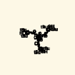 CC(C)(C)c1cc(CCC(=O)CCn2c(=O)n(CCC(=O)CCc3cc(C(C)(C)C)c(O)c(C(C)(C)C)c3)c(=O)n(CCC(=O)CCc3cc(C(C)(C)C)c(O)c(C(C)(C)C)c3)c2=O)cc(C(C)(C)C)c1O